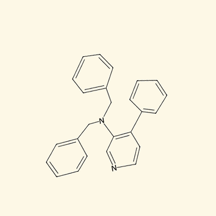 c1ccc(CN(Cc2ccccc2)c2cnccc2-c2ccccc2)cc1